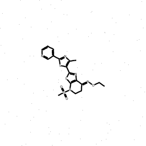 CCO/N=C1\CCN(S(C)(=O)=O)c2sc(-c3sc(-c4cccnc4)nc3C)nc21